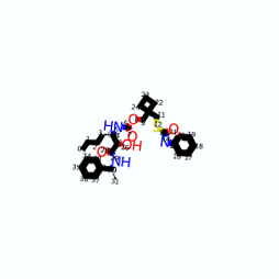 CCCC[C@H](NC(=O)OCC1(CSc2nc3ccccc3o2)CCC1)C(O)C(=O)N[C@H](C)c1ccccc1